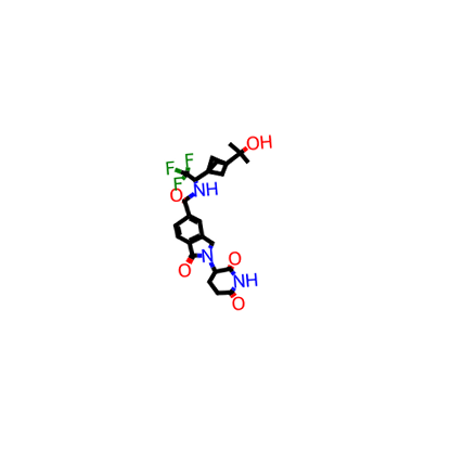 CC(C)(O)C12CC(C(NC(=O)c3ccc4c(c3)CN(C3CCC(=O)NC3=O)C4=O)C(F)(F)F)(C1)C2